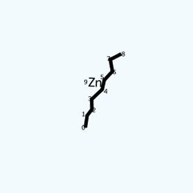 CCCCCCCCC.[Zn]